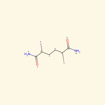 NC(=O)C(I)CCC(I)C(N)=O